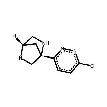 Clc1ccc([C@]23CN[C@H](CN2)C3)nn1